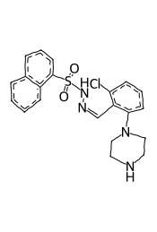 O=S(=O)(N/N=C\c1c(Cl)cccc1N1CCNCC1)c1cccc2ccccc12